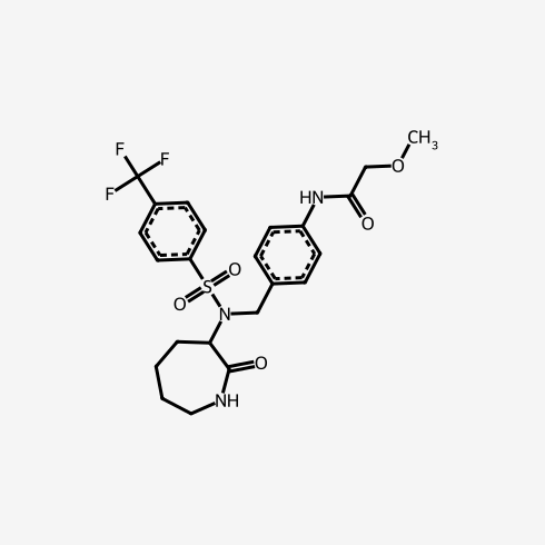 COCC(=O)Nc1ccc(CN(C2CCCCNC2=O)S(=O)(=O)c2ccc(C(F)(F)F)cc2)cc1